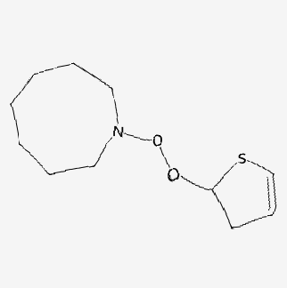 C1=CSC(OON2CCCCCCC2)C1